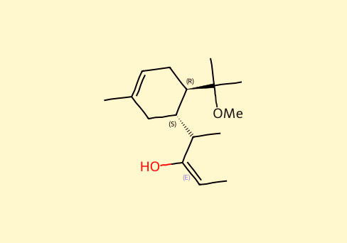 C/C=C(/O)C(C)[C@@H]1CC(C)=CC[C@H]1C(C)(C)OC